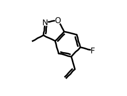 C=Cc1cc2c(C)noc2cc1F